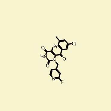 Cc1cc(Cl)cc(C(=O)c2c(C(C)C)c(=O)[nH]c(=O)n2Cc2ccnc(F)c2)c1